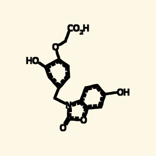 O=C(O)COc1ccc(Cn2c(=O)oc3cc(O)ccc32)cc1O